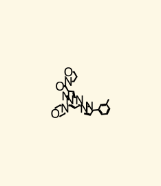 Cc1cccc(-c2ccn(-c3cc(N4CCOCC4)n4nc(C(=O)N5CCCOC5)cc4n3)n2)c1